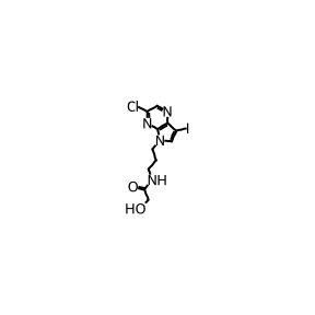 O=C(CO)NCCCn1cc(I)c2ncc(Cl)nc21